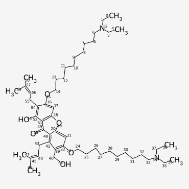 CCN(CC)CCCCCCCCCCOc1cc2oc3cc(OCCCCCCCCCCN(CC)CC)c(CO)c(CC=C(C)C)c3c(=O)c2c(O)c1CC=C(C)C